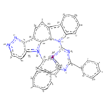 c1ccc(-c2nc(-c3ccccc3)nc(-n3c4ccccc4c4ccc5c6nnccc6n(-c6ccccc6)c5c43)n2)cc1